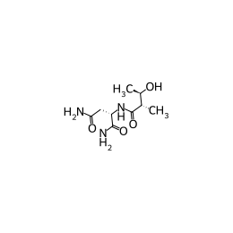 C[C@H](C(=O)N[C@@H](CC(N)=O)C(N)=O)[C@@H](C)O